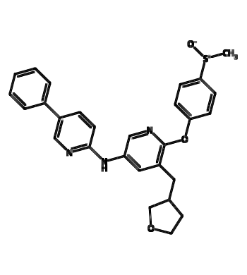 C[S+]([O-])c1ccc(Oc2ncc(Nc3ccc(-c4ccccc4)cn3)cc2CC2CCOC2)cc1